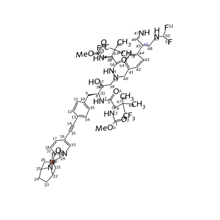 COC(=O)N[C@H](C(=O)N[C@@H](Cc1ccc(C#Cc2ccc(N3CC4CCC(C3)N4C3COC3)nc2)cc1)[C@@H](O)CN(Cc1ccc(/C(C=N)=C/NC(F)F)cc1)NC(=O)[C@@H](NC(=O)OC)C(C)(C)C(F)(F)F)C(C)(C)C(F)(F)F